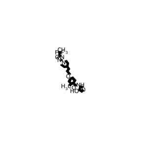 Cc1cc(OCCCC2CCN(c3noc(C(C)(F)F)n3)CC2)ccc1C(=O)N[C@H]1COC[C@@H]1O